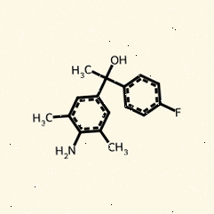 Cc1cc(C(C)(O)c2ccc(F)cc2)cc(C)c1N